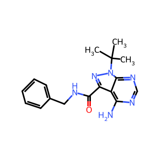 CC(C)(C)n1nc(C(=O)NCc2ccccc2)c2c(N)ncnc21